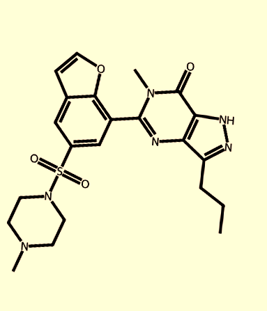 CCCc1n[nH]c2c(=O)n(C)c(-c3cc(S(=O)(=O)N4CCN(C)CC4)cc4ccoc34)nc12